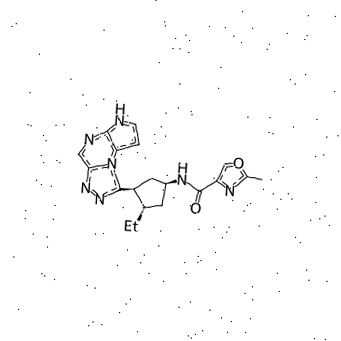 CC[C@@H]1C[C@H](NC(=O)c2coc(C)n2)C[C@@H]1c1nnc2cnc3[nH]ccc3n12